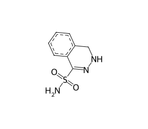 NS(=O)(=O)C1=NNCc2ccccc21